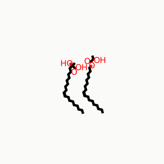 CCCCCCCC/C=C\CCCCCCCCC(C)(O)C(=O)O.CCCCCCCC/C=C\CCCCCCCCOC(=O)C(C)O